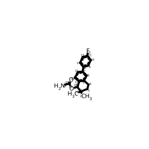 CC1(C)CCc2cc(-c3ccc(F)cc3)ccc2C1OC(N)=O